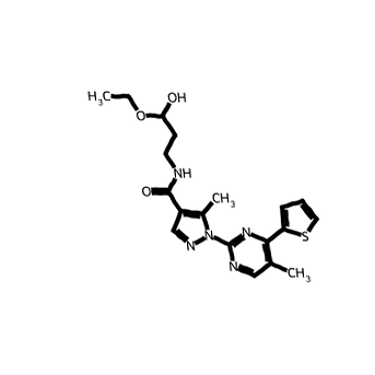 CCOC(O)CCNC(=O)c1cnn(-c2ncc(C)c(-c3cccs3)n2)c1C